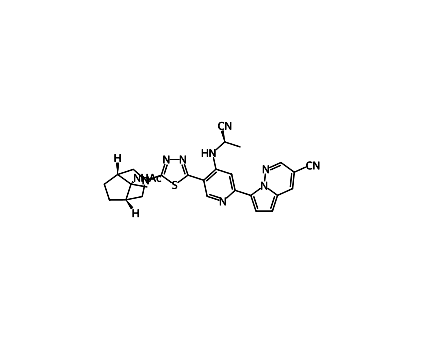 CC(=O)N[C@@]1(C)[C@@H]2CC[C@H]1CN(c1nnc(-c3cnc(-c4ccc5cc(C#N)cnn45)cc3N[C@H](C)C#N)s1)C2